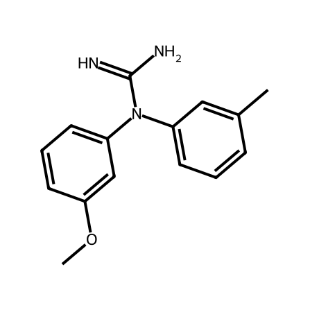 COc1cccc(N(C(=N)N)c2cccc(C)c2)c1